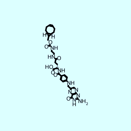 Nc1nc2ncc(CNc3ccc(C(=O)N[C@@H](CCC(=O)NCCNC(=O)OCC4[C@H]5CCC#CCC[C@@H]45)C(=O)O)cc3)nc2c(=O)[nH]1